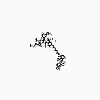 CC(C)c1cnn2c(NCc3ccc(CCCCCCCOc4cccc5c4C(=O)N(C4CCC(=O)NC4=O)C5=O)cc3N(C)C)nc(OC3CCN(C)CC3)nc12